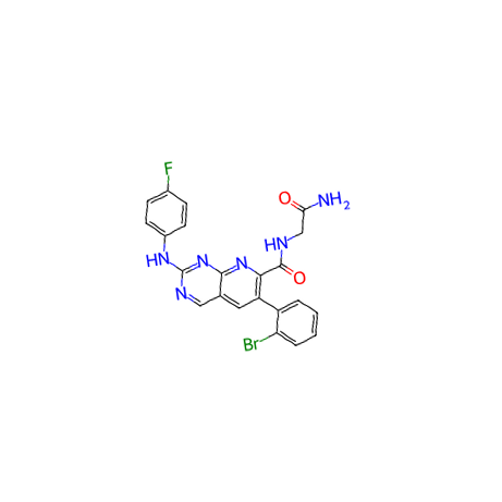 NC(=O)CNC(=O)c1nc2nc(Nc3ccc(F)cc3)ncc2cc1-c1ccccc1Br